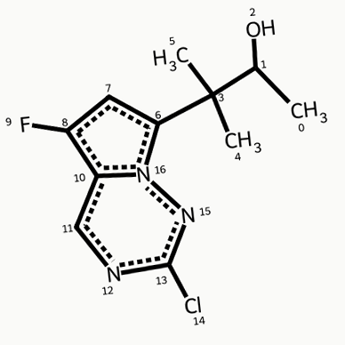 CC(O)C(C)(C)c1cc(F)c2cnc(Cl)nn12